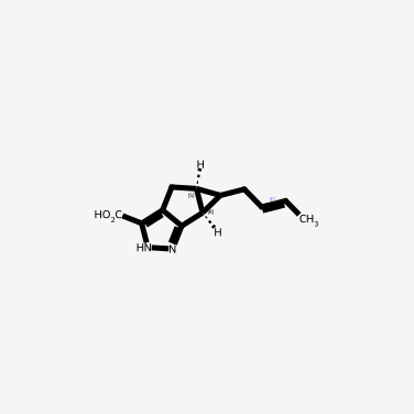 C/C=C/CC1[C@H]2c3n[nH]c(C(=O)O)c3C[C@@H]12